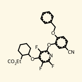 CCOC(=O)C1CCCCC1Oc1c(F)c(F)nc(Oc2cc(C#N)ccc2OCc2ccccc2)c1F